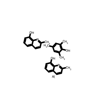 Cc1cc(C)c(O)c(C)c1.Cc1ccc2cccc(O)c2n1.Cc1ccc2cccc(O)c2n1.[Al]